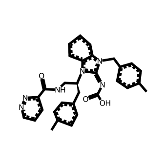 Cc1ccc(C[C@@H](CNC(=O)c2cccnn2)n2/c(=N\C(=O)O)n(Cc3ccc(C)cc3)c3ccccc32)cc1